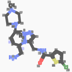 C=C(/C=C\C(=C/N)n1nncc1CNC(=O)c1ccc(Cl)s1)N1CCN(C)CC1